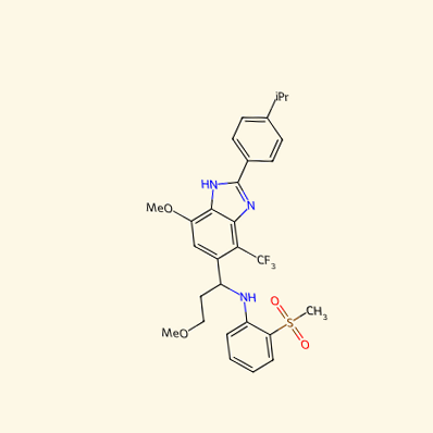 COCCC(Nc1ccccc1S(C)(=O)=O)c1cc(OC)c2[nH]c(-c3ccc(C(C)C)cc3)nc2c1C(F)(F)F